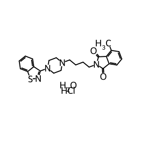 Cc1cccc2c1C(=O)N(CCCCN1CCN(c3nsc4ccccc34)CC1)C2=O.Cl.O